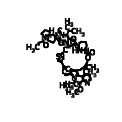 C=CC(=O)N1CCC[C@]12CCN(C(=O)N(C)[C@H](C(=O)N[C@H]1Cc3nc(cs3)-c3ccc4c(c3)c(c(-c3cccnc3[C@H](C)OC)n4CC)CC(C)(C)COC(=O)[C@@H]3CCCN(N3)C1=O)C(C)C)C2